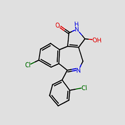 O=C1NC(O)C2=C1c1ccc(Cl)cc1C(c1ccccc1Cl)=NC2